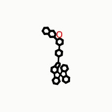 c1ccc2c(c1)-c1ccccc1C21c2ccccc2-c2ccc3cc(-c4ccc(-c5ccc6oc7cc8ccccc8cc7c6c5)cc4)ccc3c21